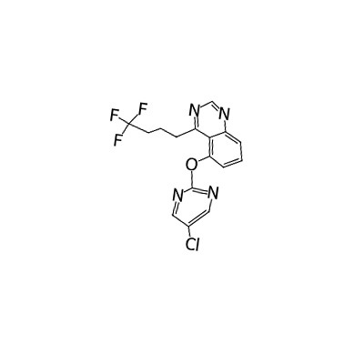 FC(F)(F)CCCc1ncnc2cccc(Oc3ncc(Cl)cn3)c12